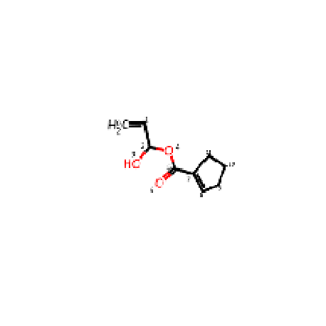 C=CC(O)OC(=O)C1=CCCC1